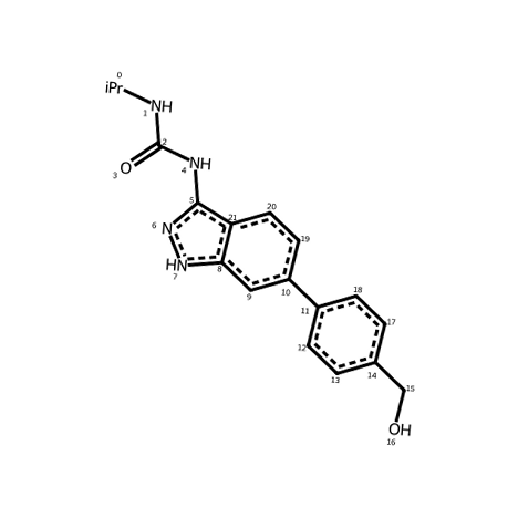 CC(C)NC(=O)Nc1n[nH]c2cc(-c3ccc(CO)cc3)ccc12